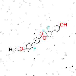 CCOCc1ccc(C2CCC(C(=O)Oc3ccc(C4CCC(O)CC4)c(F)c3F)CC2)c(F)c1